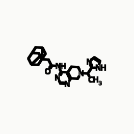 CC(c1ncc[nH]1)N1CCc2c(ncnc2NC(=O)CC23CC4CC(CC(C4)C2)C3)C1